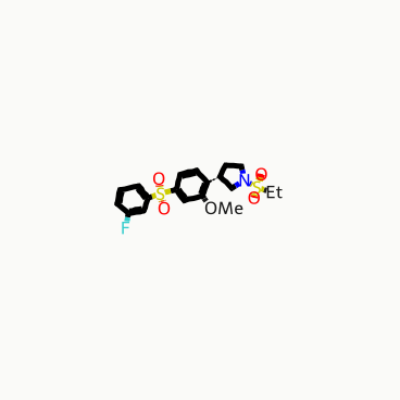 CCS(=O)(=O)N1CC[C@@H](c2ccc(S(=O)(=O)c3cccc(F)c3)cc2OC)C1